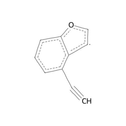 C#Cc1cccc2oc[c]c12